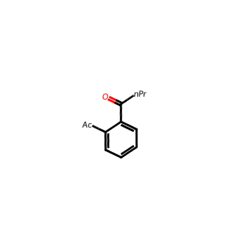 CCCC(=O)c1ccccc1C(C)=O